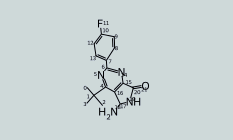 CC(C)(C)c1nc(-c2ccc(F)cc2)nc2c1C(N)NC2=O